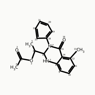 CC(=O)OC(C)C1Nc2cccc(C)c2C(=O)N1c1ccccc1